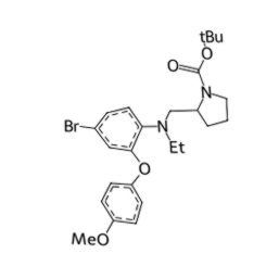 CCN(CC1CCCN1C(=O)OC(C)(C)C)c1ccc(Br)cc1Oc1ccc(OC)cc1